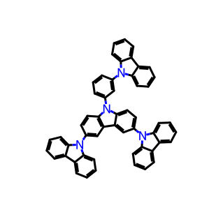 c1cc(-n2c3ccccc3c3ccccc32)cc(-n2c3ccc(-n4c5ccccc5c5ccccc54)cc3c3cc(-n4c5ccccc5c5ccccc54)ccc32)c1